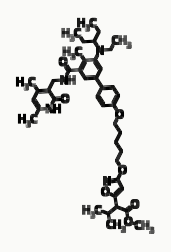 CCC(CC)N(CC)c1cc(-c2ccc(OCCCCCOc3cc(C(C(=O)OC)C(C)C)on3)cc2)cc(C(=O)NCc2c(C)cc(C)[nH]c2=O)c1C